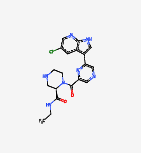 O=C(NCC(F)(F)F)[C@H]1CNCCN1C(=O)c1cncc(-c2c[nH]c3ncc(Cl)cc23)n1